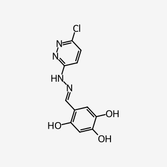 Oc1cc(O)c(C=NNc2ccc(Cl)nn2)cc1O